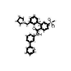 CS(=O)(=O)c1ccc(C(=O)Nc2cccc(-c3ccccn3)c2)c(-c2cccc(CN3CCCC3)c2)c1